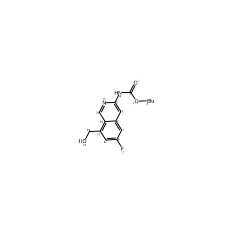 CC(C)(C)OC(=O)Nc1cc2cc(F)cc(CO)c2cn1